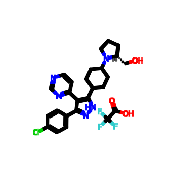 O=C(O)C(F)(F)F.OC[C@H]1CCCN1C1CCC(c2[nH]nc(-c3ccc(Cl)cc3)c2-c2ccncn2)CC1